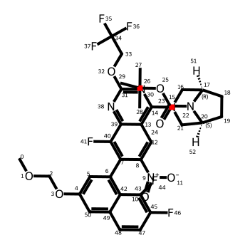 COCOc1cc(-c2c([N+](=O)[O-])cc3c(N4C[C@H]5CC[C@@H](C4)N5C(=O)OC(C)(C)C)nc(OCC(F)(F)F)nc3c2F)c2c(F)c(F)ccc2c1